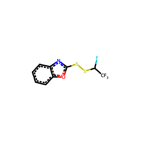 FC(SSc1nc2ccccc2o1)C(F)(F)F